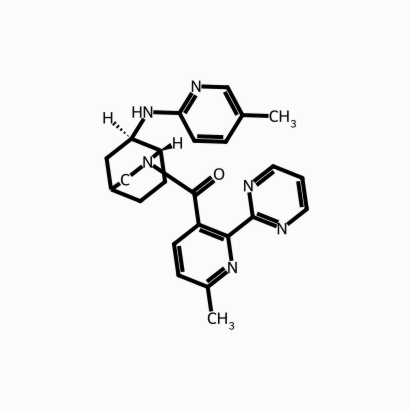 Cc1ccc(N[C@@H]2CC3CC[C@@H]2N(C(=O)c2ccc(C)nc2-c2ncccn2)C3)nc1